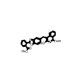 COC(=O)c1ccccc1-c1nc2cc(Cc3c(OC)nc(OC)c4ccccc34)ccc2o1